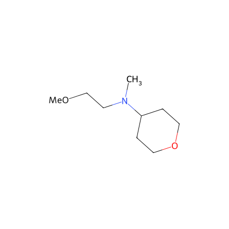 COCCN(C)C1CCOCC1